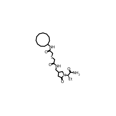 CC[C@H](C(N)=O)N1CC(CNC(=O)CSCC(=O)NC2CCCCCCCCCC2)CC1=O